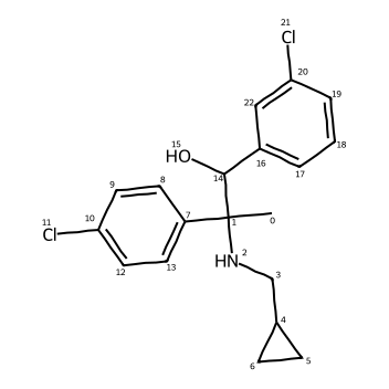 CC(NCC1CC1)(c1ccc(Cl)cc1)C(O)c1cccc(Cl)c1